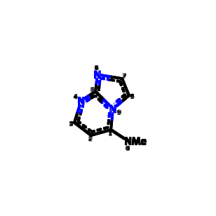 CNc1ccnc2nccn12